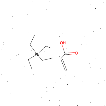 C=CC(=O)O.C[CH2][Pb]([CH2]C)([CH2]C)[CH2]C